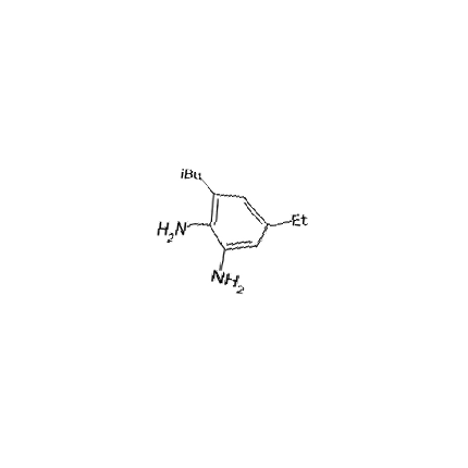 CCc1cc(N)c(N)c(C(C)CC)c1